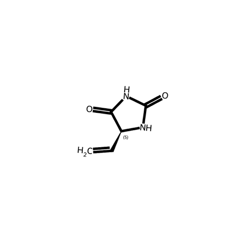 C=C[C@@H]1NC(=O)NC1=O